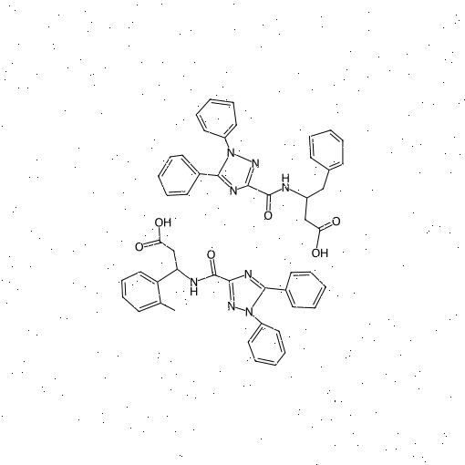 Cc1ccccc1C(CC(=O)O)NC(=O)c1nc(-c2ccccc2)n(-c2ccccc2)n1.O=C(O)CC(Cc1ccccc1)NC(=O)c1nc(-c2ccccc2)n(-c2ccccc2)n1